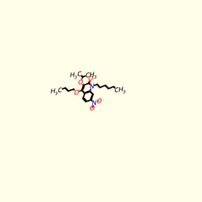 CCCCCCn1c(=O)c(OC(C)C)c(OCCCC)c2ccc([N+](=O)[O-])cc21